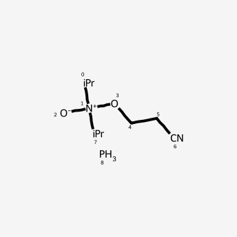 CC(C)[N+]([O-])(OCCC#N)C(C)C.P